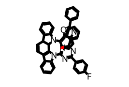 Fc1ccc(-c2nc(-c3ccccc3)nc(-n3c4c(c5ccccc53)C=CC3c5ccccc5N(c5cccc6nc(-c7ccccc7)oc56)C43)n2)cc1